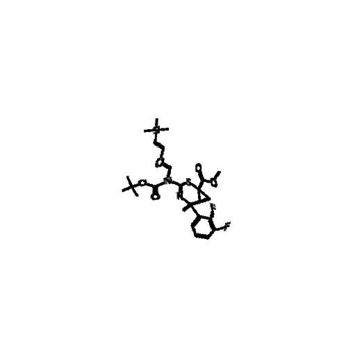 COC(=O)C12CC1C(C)(c1cccc(F)c1F)N=C(N(COCC[Si](C)(C)C)C(=O)OC(C)(C)C)S2